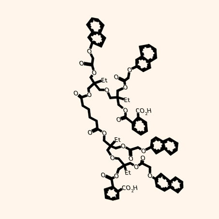 CCC(COCC(CC)(COC(=O)COc1ccc2ccccc2c1)COC(=O)c1ccccc1C(=O)O)(COC(=O)CCCCC(=O)OCC(CC)(COCC(CC)(COC(=O)COc1ccc2ccccc2c1)COC(=O)c1ccccc1C(=O)O)COC(=O)COc1ccc2ccccc2c1)COC(=O)COc1ccc2ccccc2c1